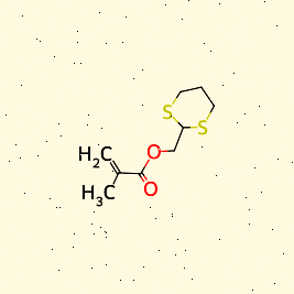 C=C(C)C(=O)OCC1SCCCS1